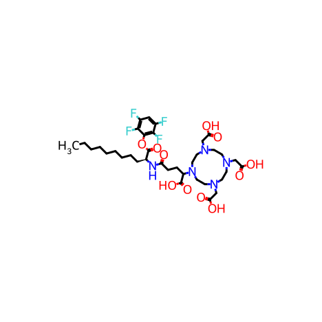 CCCCCCCCC[C@H](NC(=O)CCC(C(=O)O)N1CCN(CC(=O)O)CCN(CC(=O)O)CCN(CC(=O)O)CC1)C(=O)Oc1c(F)c(F)cc(F)c1F